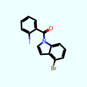 O=C(c1ccccc1I)n1ccc2c(Br)cccc21